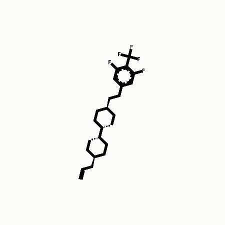 C=CC[C@H]1CC[C@H]([C@H]2CC[C@H](CCc3cc(F)c(C(F)(F)F)c(F)c3)CC2)CC1